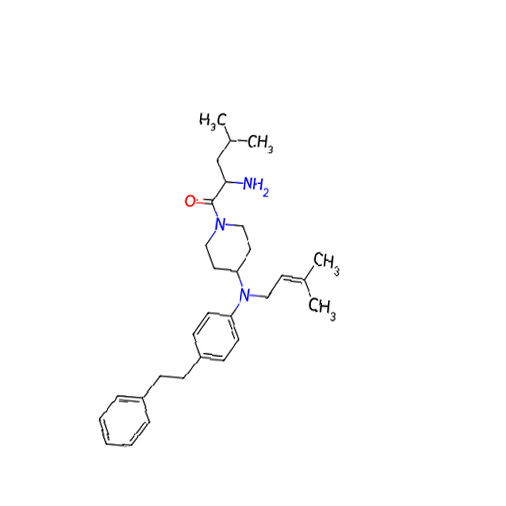 CC(C)=CCN(c1ccc(CCc2ccccc2)cc1)C1CCN(C(=O)C(N)CC(C)C)CC1